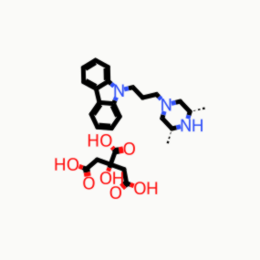 C[C@@H]1CN(CCCn2c3ccccc3c3ccccc32)C[C@H](C)N1.O=C(O)CC(O)(CC(=O)O)C(=O)O